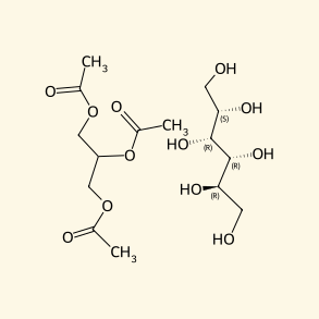 CC(=O)OCC(COC(C)=O)OC(C)=O.OC[C@@H](O)[C@@H](O)[C@H](O)[C@@H](O)CO